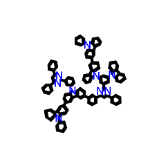 c1ccc(-c2cc(-c3ccccc3)nc(-c3cccc(-n4c5ccc(-c6cccc(-c7cc(-c8ccccc8)nc(-c8cc(-n9c%10ccccc%10c%10ccccc%109)cc(-n9c%10ccccc%10c%10cc(-c%11ccc%12c(c%11)c%11ccccc%11n%12-c%11ccccc%11)ccc%109)c8)n7)c6)cc5c5cc(-c6ccc7c(c6)c6ccccc6n7-c6ccccc6)ccc54)c3)n2)cc1